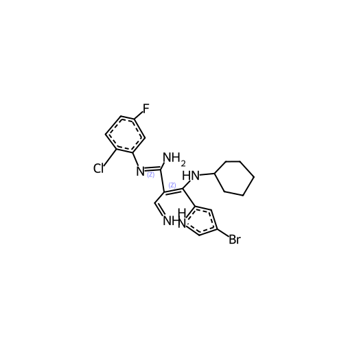 N=CC(/C(N)=N/c1cc(F)ccc1Cl)=C(/NC1CCCCC1)c1cc(Br)c[nH]1